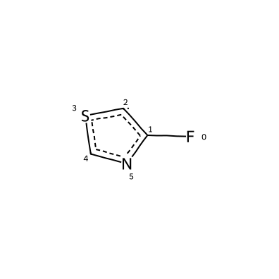 Fc1[c]scn1